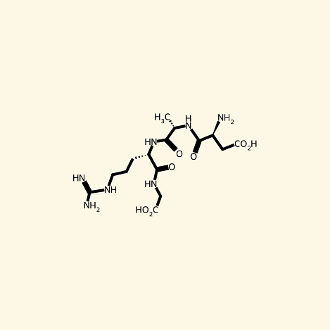 C[C@H](NC(=O)[C@@H](N)CC(=O)O)C(=O)N[C@@H](CCCNC(=N)N)C(=O)NCC(=O)O